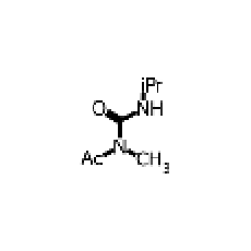 CC(=O)N(C)C(=O)NC(C)C